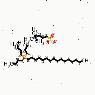 CCCCCCCCCCCCCCCC[P+](CCCC)(CCCC)CCCC.C[Si](C)(C)CCCS(=O)(=O)[O-]